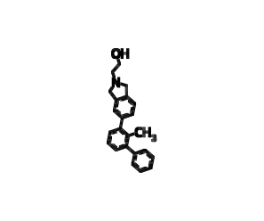 Cc1c(-c2ccccc2)cccc1-c1ccc2c(c1)CN(CCO)C2